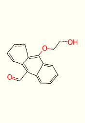 O=Cc1c2ccccc2c(OCCO)c2ccccc12